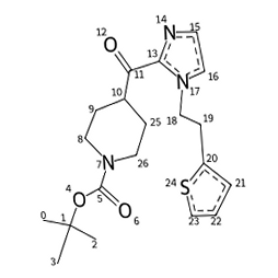 CC(C)(C)OC(=O)N1CCC(C(=O)c2nccn2CCc2cccs2)CC1